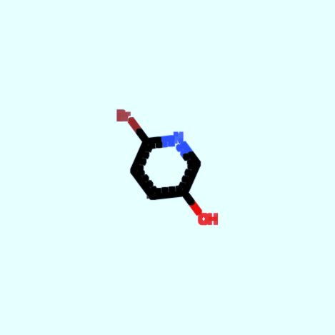 Oc1[c]cc(Br)nc1